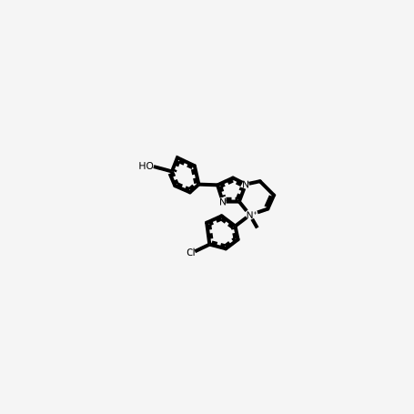 C[N+]1(c2ccc(Cl)cc2)C=CCn2cc(-c3ccc(O)cc3)nc21